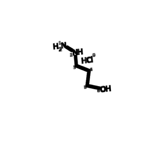 Cl.NNCCCO